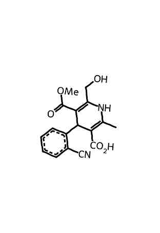 COC(=O)C1=C(CO)NC(C)=C(C(=O)O)C1c1ccccc1C#N